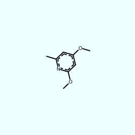 [CH2]c1cc(OC)cc(OC)n1